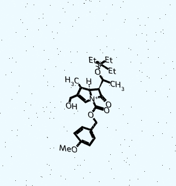 CC[Si](CC)(CC)OC(C)[C@H]1C(=O)[N+]2(C(=O)OCc3ccc(OC)cc3)C=C(CO)C(C)[C@@H]12